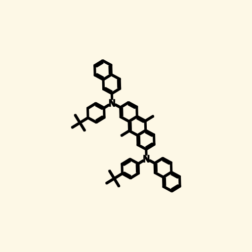 Cc1c2ccc(N(C3=CCC(C(C)(C)C)C=C3)c3ccc4ccccc4c3)cc2c(C)c2cc(N(c3ccc(C(C)(C)C)cc3)c3ccc4ccccc4c3)ccc12